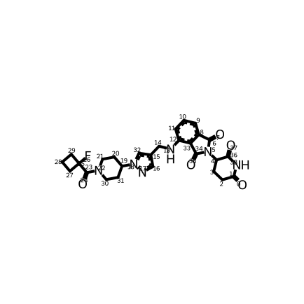 O=C1CCC(N2C(=O)c3cccc(NCc4cnn(C5CCN(C(=O)C6(F)CCC6)CC5)c4)c3C2=O)C(=O)N1